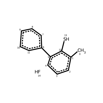 Cc1cccc(-c2ccccc2)c1S.F